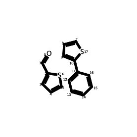 O=Cc1cc[c]s1.[c]1ccc(-c2ccccc2)s1